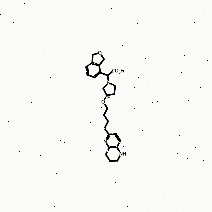 O=C(O)C(c1cccc2c1COC2)N1CC[C@@H](OCCCCc2ccc3c(n2)CCCN3)C1